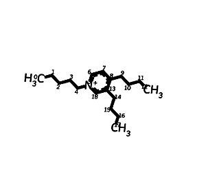 CCCCC[n+]1ccc(CCCC)c(CCCC)c1